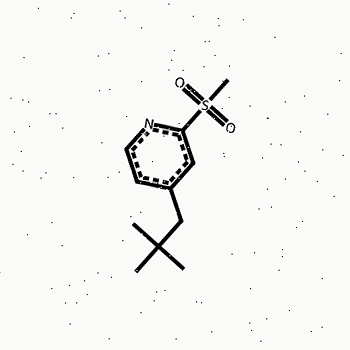 CC(C)(C)Cc1ccnc(S(C)(=O)=O)c1